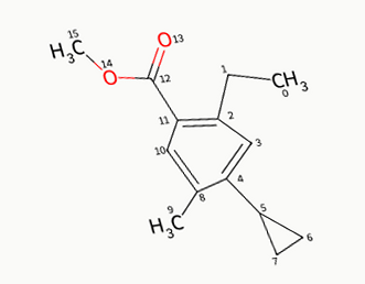 CCc1cc(C2CC2)c(C)cc1C(=O)OC